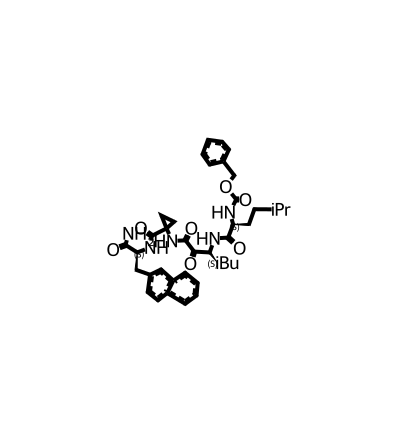 CC[C@H](C)C(NC(=O)[C@H](CCC(C)C)NC(=O)OCc1ccccc1)C(=O)C(=O)NC1(C(=O)N[C@@H](Cc2ccc3ccccc3c2)C(N)=O)CC1